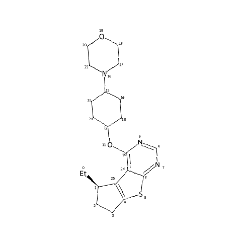 [CH2]C[C@@H]1CCc2sc3ncnc(OC4CCC(N5CCOCC5)CC4)c3c21